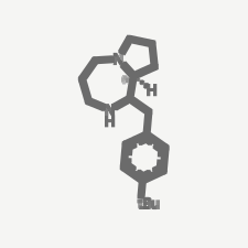 CC(C)(C)c1ccc(CC2NCCCN3CCC[C@@H]23)cc1